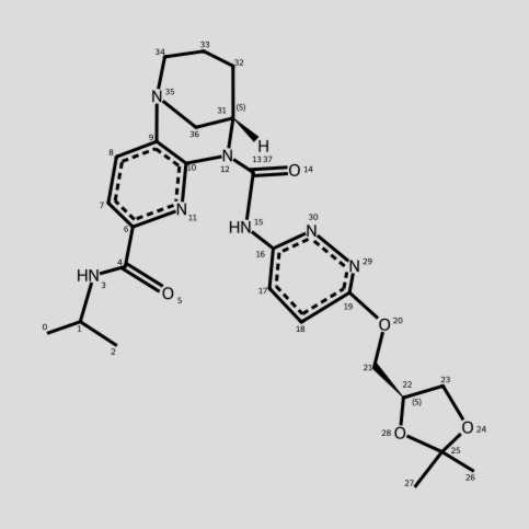 CC(C)NC(=O)c1ccc2c(n1)N(C(=O)Nc1ccc(OC[C@H]3COC(C)(C)O3)nn1)[C@H]1CCCN2C1